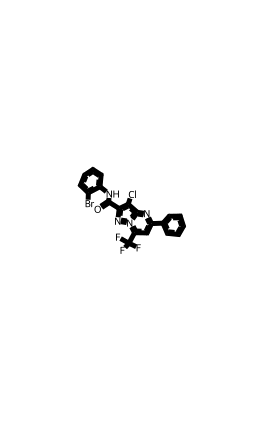 O=C(Nc1ccccc1Br)c1nn2c(C(F)(F)F)cc(-c3ccccc3)nc2c1Cl